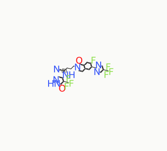 N#C[C@@H](CCCn1ccc2cc(-c3ncc(C(F)(F)F)cn3)c(F)cc2c1=O)Nc1cn[nH]c(=O)c1C(F)(F)F